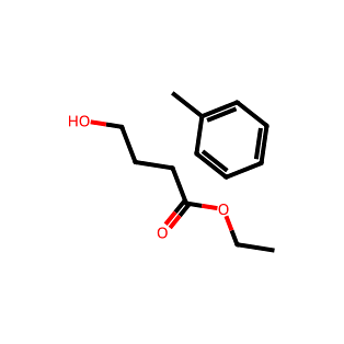 CCOC(=O)CCCO.Cc1ccccc1